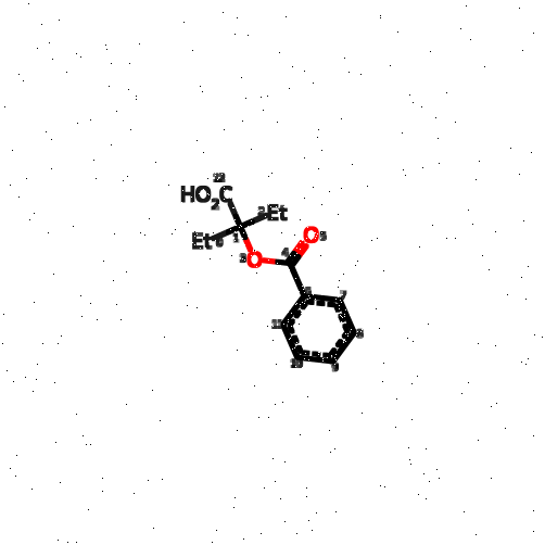 CCC(CC)(OC(=O)c1ccccc1)C(=O)O